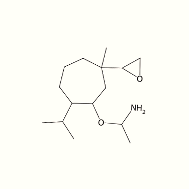 CC(N)OC1CC(C)(C2CO2)CCCC1C(C)C